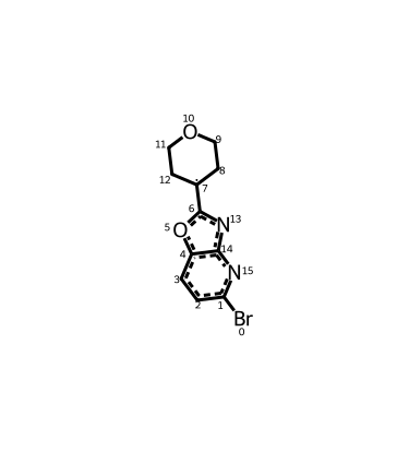 Brc1ccc2oc([C]3CCOCC3)nc2n1